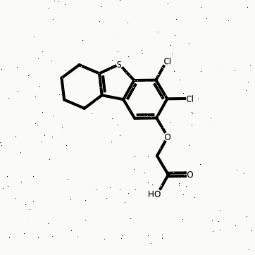 O=C(O)COc1cc2c3c(sc2c(Cl)c1Cl)CCCC3